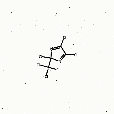 ClC1=NC(Cl)(C(Cl)(Cl)Cl)N=C1Cl